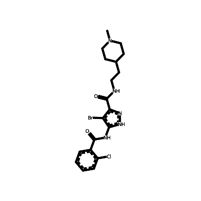 CN1CCC(CCNC(=O)c2n[nH]c(NC(=O)c3ccccc3Cl)c2Br)CC1